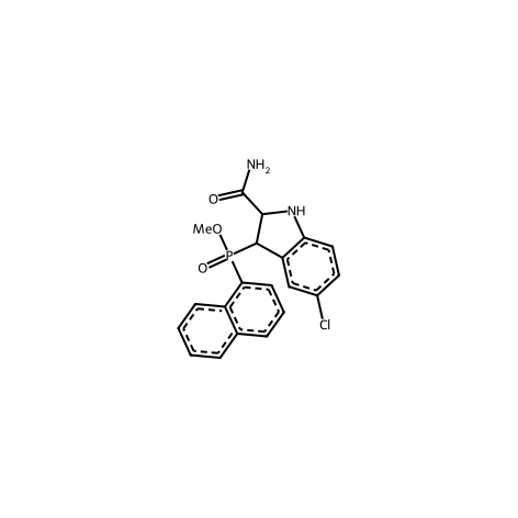 COP(=O)(c1cccc2ccccc12)C1c2cc(Cl)ccc2NC1C(N)=O